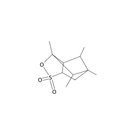 CC1C2C3CC1(C)C(C)C2(C)OS3(=O)=O